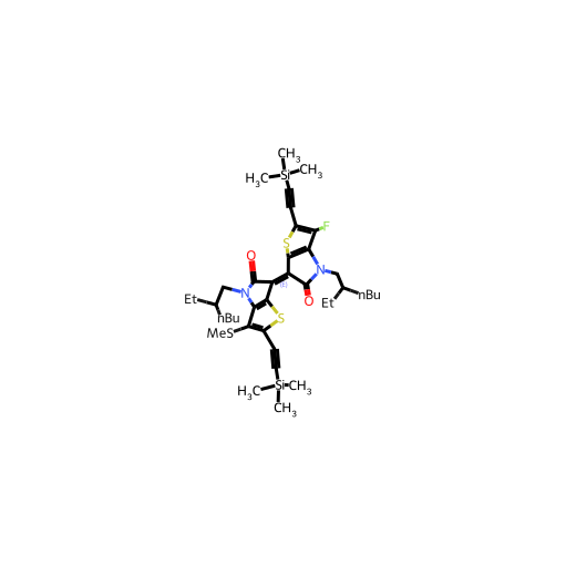 CCCCC(CC)CN1C(=O)/C(=C2/C(=O)N(CC(CC)CCCC)c3c2sc(C#C[Si](C)(C)C)c3SC)c2sc(C#C[Si](C)(C)C)c(F)c21